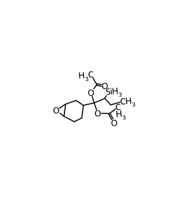 CCC([SiH3])C(OC(C)=O)(OC(C)=O)C1CCC2OC2C1